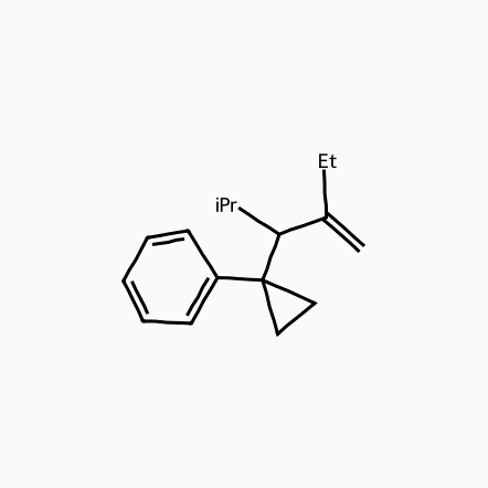 C=C(CC)C(C(C)C)C1(c2ccccc2)CC1